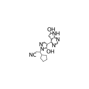 N#CCC(C1CCCC1)n1ncc(-c2ncnc3[nH]c(O)cc23)c1O